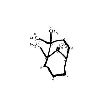 C=C1C2CCCC1(C)C(C)(C)CC2